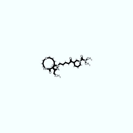 CCc1nn(CCCCC(=O)C2CCCN(C(=O)N(C)C)C2)c2c1C(=O)NCCCOCCC2